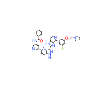 O=C(Nc1cncc(-c2ccc3[nH]nc(-c4nc5c(-c6cc(F)cc(OCCN7CCCC7)c6)nccc5[nH]4)c3n2)c1)c1ccccc1